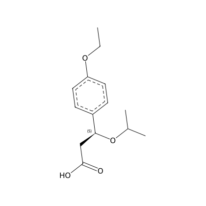 CCOc1ccc([C@H](CC(=O)O)OC(C)C)cc1